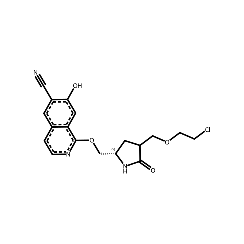 N#Cc1cc2ccnc(OC[C@@H]3CC(COCCCl)C(=O)N3)c2cc1O